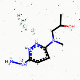 CC(O)CN(C)c1ccc(NN)nn1.[Cl-].[Cl-].[H+].[H+]